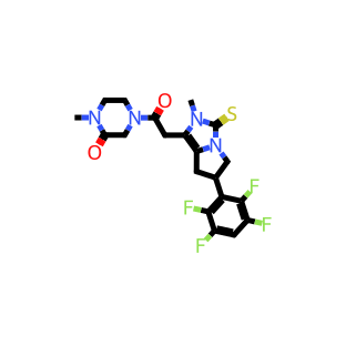 CN1CCN(C(=O)Cc2c3n(c(=S)n2C)CC(c2c(F)c(F)cc(F)c2F)C3)CC1=O